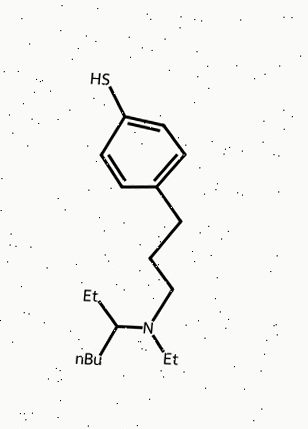 CCCCC(CC)N(CC)CCCc1ccc(S)cc1